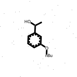 CCCCOc1cccc(C(C)O)c1